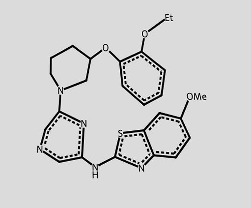 CCOc1ccccc1OC1CCCN(c2cncc(Nc3nc4ccc(OC)cc4s3)n2)C1